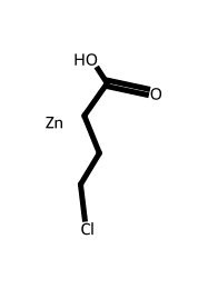 O=C(O)CCCCl.[Zn]